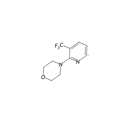 FC(F)(F)c1cc[c]nc1N1CCOCC1